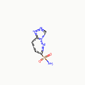 NS(=O)(=O)c1ccc2nncn2n1